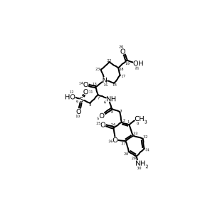 Cc1c(CC(=O)NC(CS(=O)(=O)O)C(=O)N2CCC(C(=O)O)CC2)c(=O)oc2cc(N)ccc12